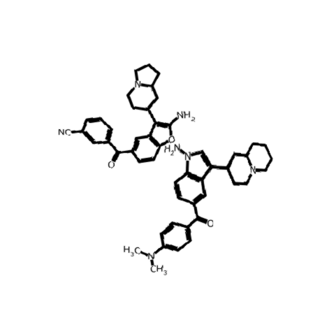 CN(C)c1ccc(C(=O)c2ccc3c(c2)c(C2CCN4CCCCC4C2)cn3N)cc1.N#Cc1cccc(C(=O)c2ccc3oc(N)c(C4CCN5CCCC5C4)c3c2)c1